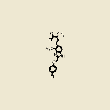 Cc1c(CCC(C)C(=O)Cl)ccc2[nH]c(COc3ccc(Cl)cc3)nc12